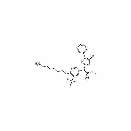 C=C(O)N(c1ccc(CCCCCCCC)c(C(F)(F)F)c1)c1nc(-c2cccnc2)c(F)s1